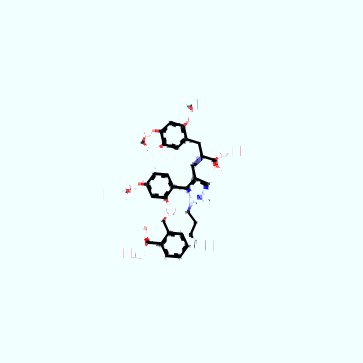 CCCCn1ncc(/C=C(/Cc2cc3c(cc2OC)OCO3)C(=O)O)c1-c1ccc(OC)cc1OCc1ccccc1C(=O)O